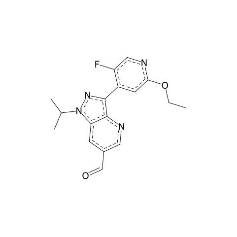 CCOc1cc(-c2nn(C(C)C)c3cc(C=O)cnc23)c(F)cn1